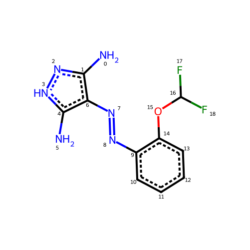 Nc1n[nH]c(N)c1N=Nc1ccccc1OC(F)F